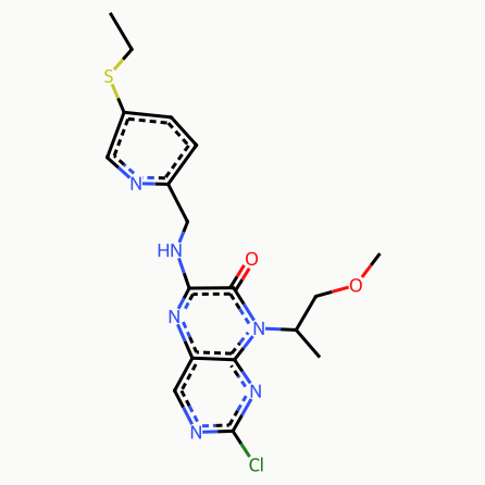 CCSc1ccc(CNc2nc3cnc(Cl)nc3n(C(C)COC)c2=O)nc1